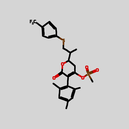 Cc1cc(C)c(C2=C(OS(C)(=O)=O)CC(C(C)CSc3ccc(C(F)(F)F)cc3)OC2=O)c(C)c1